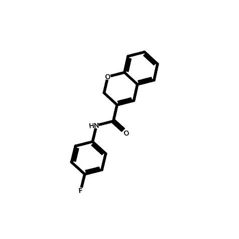 O=C(Nc1ccc(F)cc1)C1=Cc2ccccc2OC1